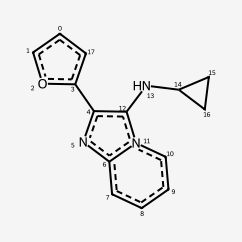 c1coc(-c2nc3ccccn3c2NC2CC2)c1